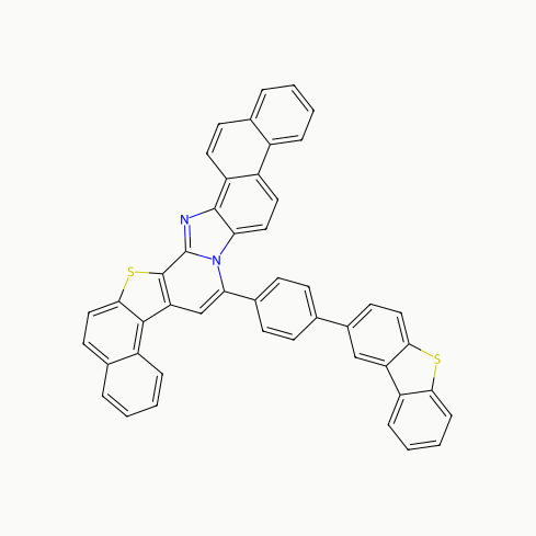 c1ccc2c(c1)ccc1c2ccc2c1nc1c3sc4ccc5ccccc5c4c3cc(-c3ccc(-c4ccc5sc6ccccc6c5c4)cc3)n21